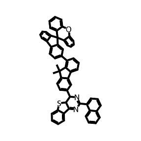 CC1(C)c2ccc(C3N=C(c4cccc5ccccc45)N=C4c5ccccc5SC43)cc2-c2cccc(-c3ccc4c(c3)C3(c5ccccc5Oc5ccccc53)c3ccccc3-4)c21